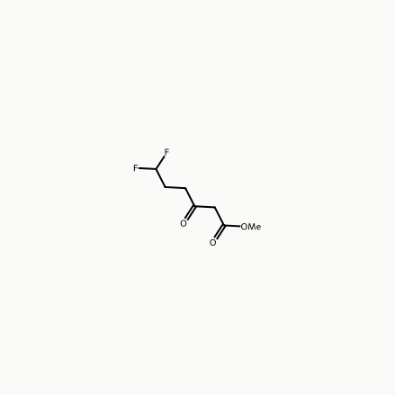 COC(=O)CC(=O)CCC(F)F